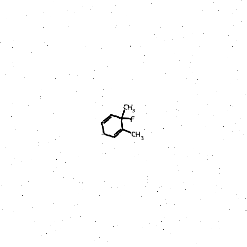 CC1=C[CH]C=CC1(C)F